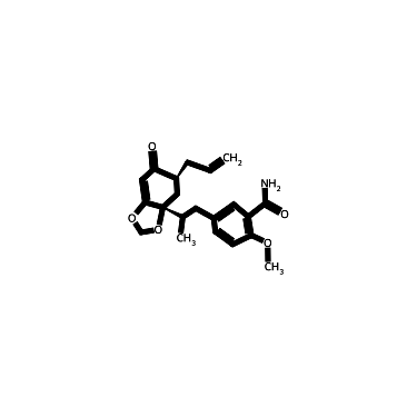 C=CC[C@H]1C[C@]2(C(C)Cc3ccc(OC)c(C(N)=O)c3)OCOC2=CC1=O